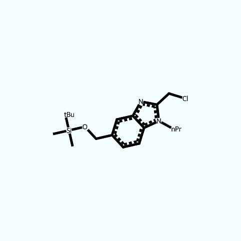 CCCn1c(CCl)nc2cc(CO[Si](C)(C)C(C)(C)C)ccc21